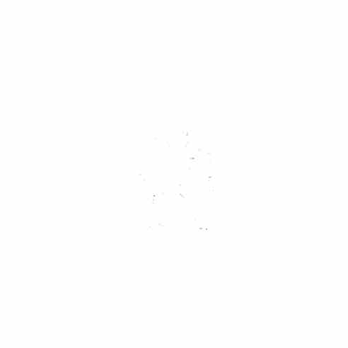 CC(=O)NC(CO)C(=O)NC(CCC(N)=O)C(=O)NC(CC(N)=O)C(=O)[C@@]1(C(=O)NC(C(=O)NC(C(N)=O)C(C)C)C(C)C)C(CCCc2ccccc2)CCN1N